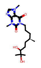 C[C@H](CCCn1c(=O)c2c(ncn2C)n(C)c1=O)CCC(O)C(C)(C)O